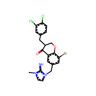 Cn1ccn(Cc2cc(Br)c3c(c2)C(=O)C(Cc2ccc(Cl)c(Cl)c2)CO3)c1=N